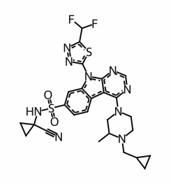 CC1CN(c2ncnc3c2c2ccc(S(=O)(=O)NC4(C#N)CC4)cc2n3-c2nnc(C(F)F)s2)CCN1CC1CC1